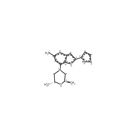 C[C@@H]1CN(c2cc(N)nc3cc(-c4ccn[nH]4)sc23)C[C@@H](C)O1